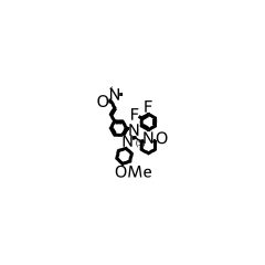 CO[C@H]1CC[C@H](n2c([C@@H]3CCCC(=O)N3c3ccc(F)c(F)c3)nc3cc(C=CC(=O)N(C)C)ccc32)CC1